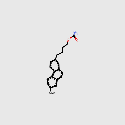 COc1ccc2c(ccc3cc(CCCCOC(N)=O)ccc32)c1